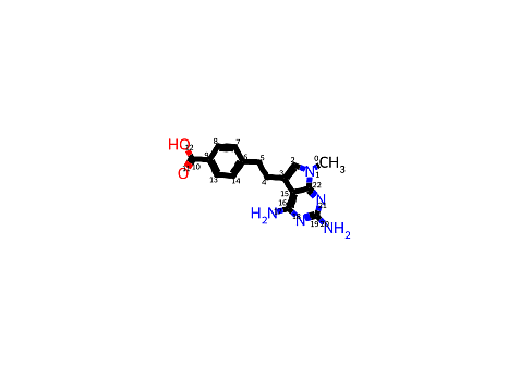 Cn1cc(CCc2ccc(C(=O)O)cc2)c2c(N)nc(N)nc21